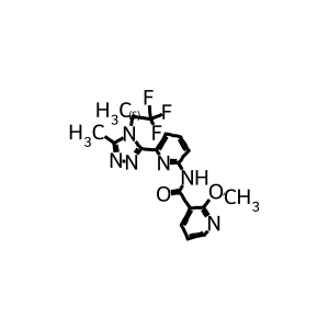 COc1ncccc1C(=O)Nc1cccc(-c2nnc(C)n2[C@@H](C)C(F)(F)F)n1